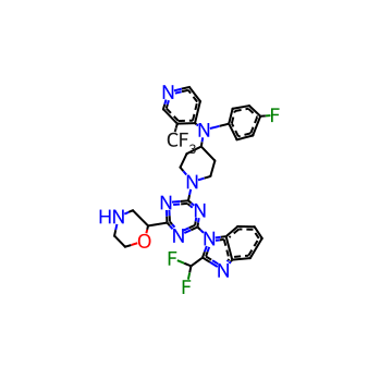 Fc1ccc(N(c2ccncc2C(F)(F)F)C2CCN(c3nc(C4CNCCO4)nc(-n4c(C(F)F)nc5ccccc54)n3)CC2)cc1